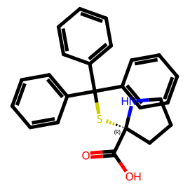 O=C(O)[C@]1(SC(c2ccccc2)(c2ccccc2)c2ccccc2)CCCN1